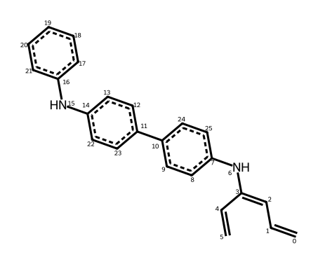 C=C/C=C(\C=C)Nc1ccc(-c2ccc(Nc3ccccc3)cc2)cc1